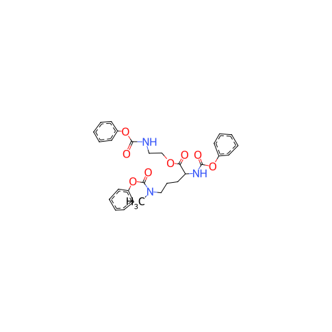 CN(CCCC(NC(=O)Oc1ccccc1)C(=O)OCCNC(=O)Oc1ccccc1)C(=O)Oc1ccccc1